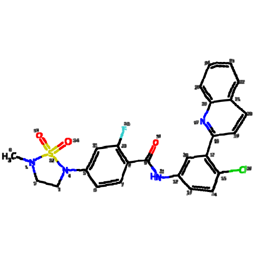 CN1CCN(c2ccc(C(=O)Nc3ccc(Cl)c(-c4ccc5ccccc5n4)c3)c(F)c2)S1(=O)=O